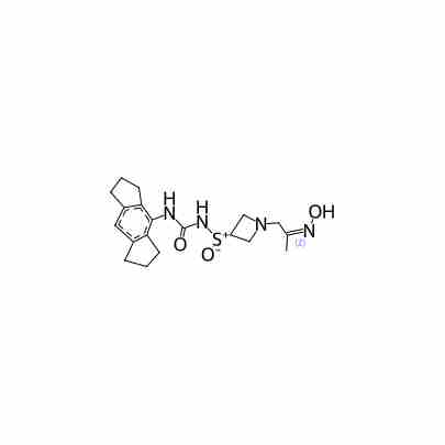 C/C(CN1CC([S+]([O-])NC(=O)Nc2c3c(cc4c2CCC4)CCC3)C1)=N/O